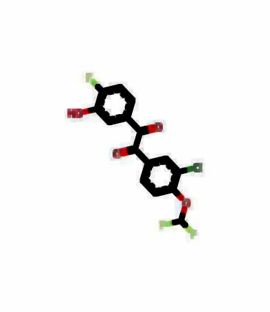 O=C(C(=O)c1ccc(OC(F)F)c(Cl)c1)c1ccc(F)c(O)c1